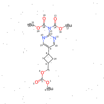 CC(C)(C)OC(=O)OCC1CC(c2cnc(N(C(=O)OC(C)(C)C)C(=O)OC(C)(C)C)nc2)C1